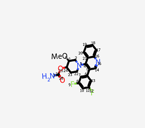 COC1CN(c2c(-c3cc(F)cc(F)c3)cnc3ccccc23)CCC1OC(N)=O